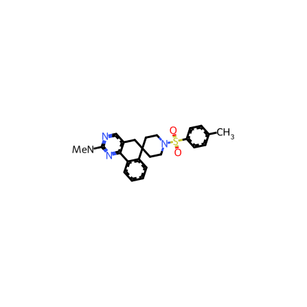 CNc1ncc2c(n1)-c1ccccc1C1(CCN(S(=O)(=O)c3ccc(C)cc3)CC1)C2